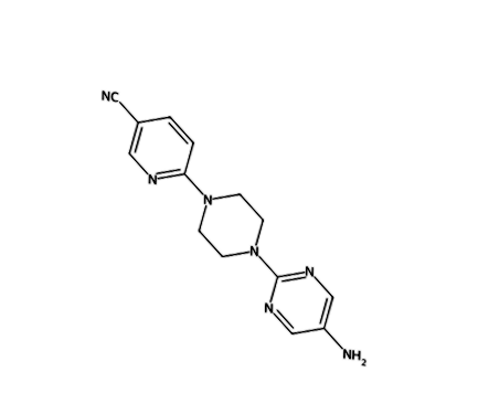 N#Cc1ccc(N2CCN(c3ncc(N)cn3)CC2)nc1